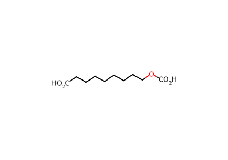 O=C(O)CCCCCCCCOC(=O)O